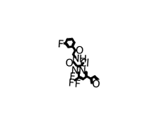 O=C(CNC(=O)c1nc2c(C(F)(F)F)cc(-c3ccoc3)cn2c1Cl)c1cccc(F)c1